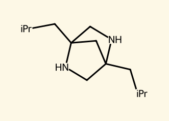 CC(C)CC12CNC(CC(C)C)(CN1)C2